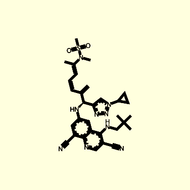 C=C(/C=C\C=C(/C)N(C)S(C)(=O)=O)[C@H](Nc1cc(C#N)c2ncc(C#N)c(NCC(C)(C)C)c2c1)c1cn(C2CC2)nn1